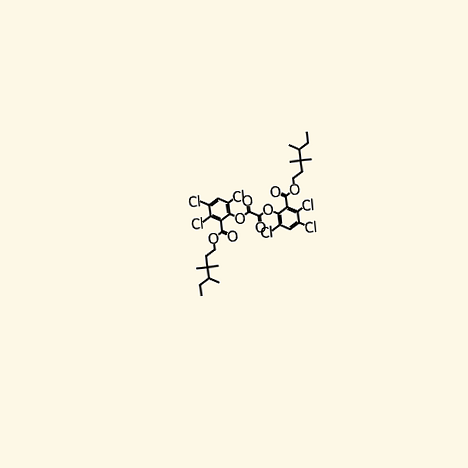 CCC(C)C(C)(C)CCOC(=O)c1c(Cl)c(Cl)cc(Cl)c1OC(=O)C(=O)Oc1c(Cl)cc(Cl)c(Cl)c1C(=O)OCCC(C)(C)C(C)CC